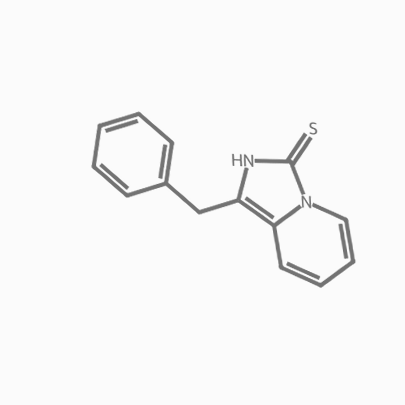 S=c1[nH]c(Cc2ccccc2)c2ccccn12